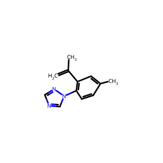 C=C(C)c1cc(C)ccc1-n1cncn1